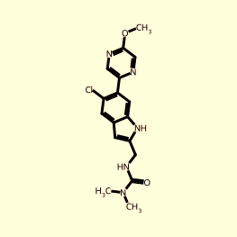 COc1cnc(-c2cc3[nH]c(CNC(=O)N(C)C)cc3cc2Cl)cn1